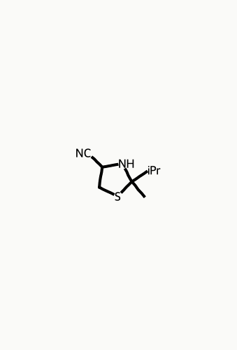 CC(C)C1(C)NC(C#N)CS1